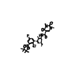 Cc1c(NC(=O)c2cn(C)c(=O)n(C)c2=O)cc(F)cc1-c1cc(F)cc(B2OC(C)(C)C(C)(C)O2)c1Cl